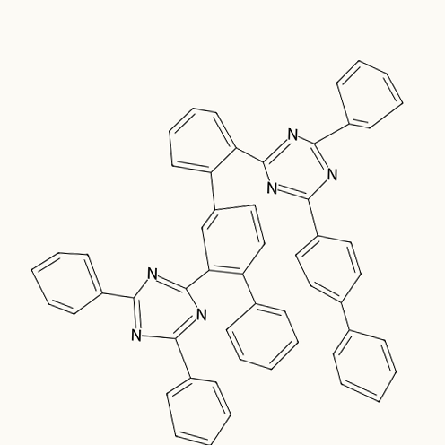 c1ccc(-c2ccc(-c3nc(-c4ccccc4)nc(-c4ccccc4-c4ccc(-c5ccccc5)c(-c5nc(-c6ccccc6)nc(-c6ccccc6)n5)c4)n3)cc2)cc1